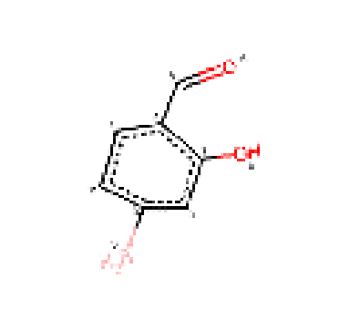 Bc1ccc(C=O)c(O)c1